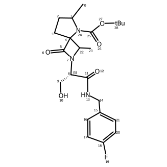 CC1CCC2(C(=O)N([C@@H](CO)C(=O)NCc3ccc(F)cc3)C2C)N1C(=O)OC(C)(C)C